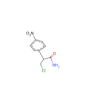 NC(=O)C(CCl)c1ccc([N+](=O)[O-])cc1